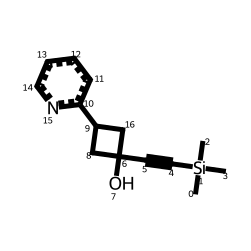 C[Si](C)(C)C#CC1(O)CC(c2ccccn2)C1